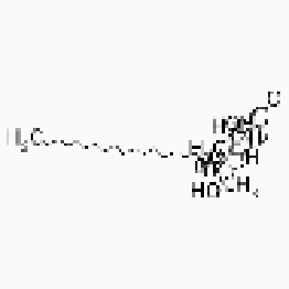 CCCCCCCCCCCCCCCCCC(=O)O[C@]1(C(=O)CO)[C@H](C)C[C@H]2[C@@H]3CCC4=CC(=O)C=C[C@]4(C)[C@@]3(F)[C@@H](O)C[C@@]21C